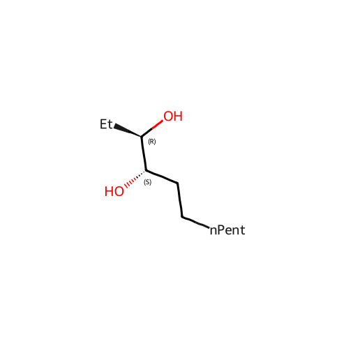 CCCCCCC[C@H](O)[C@H](O)CC